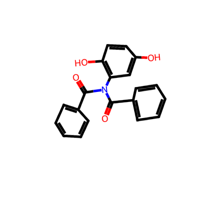 O=C(c1ccccc1)N(C(=O)c1ccccc1)c1cc(O)ccc1O